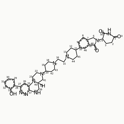 O=C1CCC(N2Cc3ccc(C4CCN(CCN5CCC(N6CCN7c8cc(-c9ccccc9O)nnc8NC[C@H]7C6)CC5)CC4)cc3C2=O)C(=O)N1